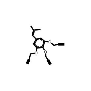 C#CCOc1cc(C=C(C)C)cc(OCC#C)c1OCC#C